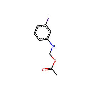 CC(=O)OCNc1cccc(I)c1